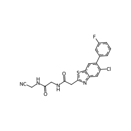 N#CCNC(=O)CNC(=O)Cc1nc2cc(Cl)c(-c3cccc(F)c3)cc2s1